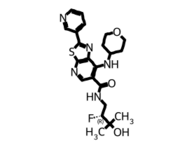 CC(C)(O)[C@H](F)CNC(=O)c1cnc2sc(-c3cccnc3)nc2c1NC1CCOCC1